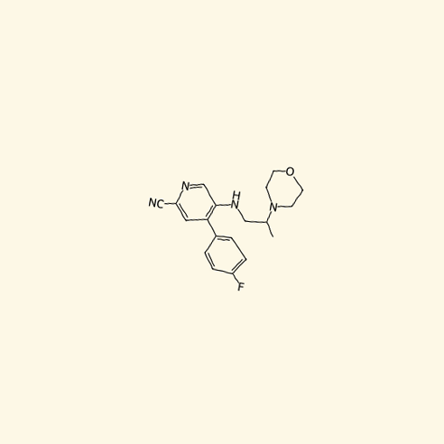 CC(CNc1cnc(C#N)cc1-c1ccc(F)cc1)N1CCOCC1